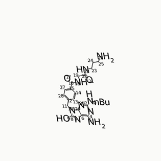 CCCCNc1nc(N)c2nc(O)n(Cc3ccc(C(=O)NCC(=O)NCCCN)cc3)c2n1